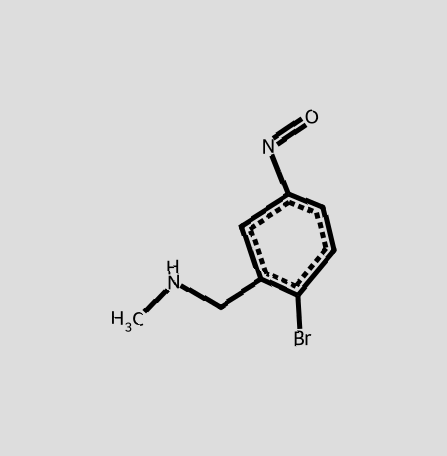 CNCc1cc(N=O)ccc1Br